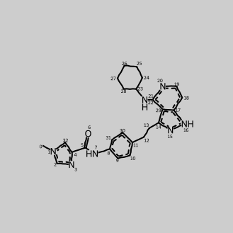 Cn1cnc(C(=O)Nc2ccc(CCc3n[nH]c4ccnc(NC5CCCCC5)c34)cc2)c1